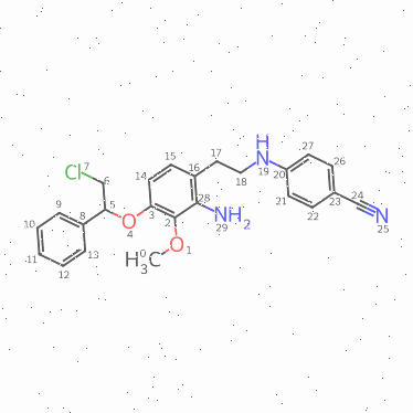 COc1c(OC(CCl)c2ccccc2)ccc(CCNc2ccc(C#N)cc2)c1N